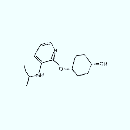 CC(C)Nc1cccnc1O[C@H]1CC[C@H](O)CC1